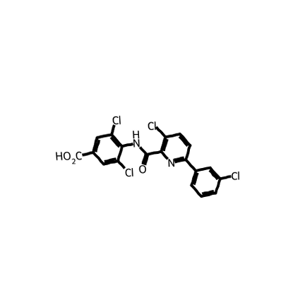 O=C(O)c1cc(Cl)c(NC(=O)c2nc(-c3cccc(Cl)c3)ccc2Cl)c(Cl)c1